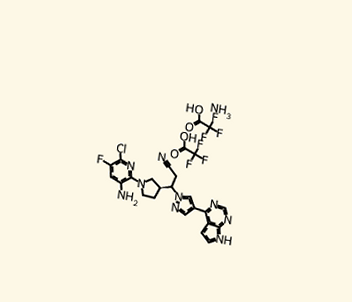 N.N#CCC([C@H]1CCN(c2nc(Cl)c(F)cc2N)C1)n1cc(-c2ncnc3[nH]ccc23)cn1.O=C(O)C(F)(F)F.O=C(O)C(F)(F)F